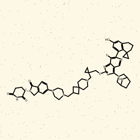 O=C1CC[C@H](N2Cc3cc(N4CCN(CC5CC6(CCN(CC7(COc8nc(N9CC%10CCC(C9)N%10)c9cnc(-c%10cc(O)cc%11c%10C%10(CCC%11)CC%10)c(F)c9n8)CC7)CC6)C5)CC4)ccc3C2=O)C(=O)N1